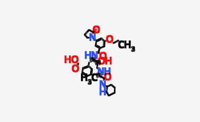 CCCOc1cc(C(=O)N[C@@H](Cc2ccccc2)[C@H](O)CN[C@@H](C)C(=O)NC2CCCCC2)cc(N2CCCC2=O)c1.O=CO